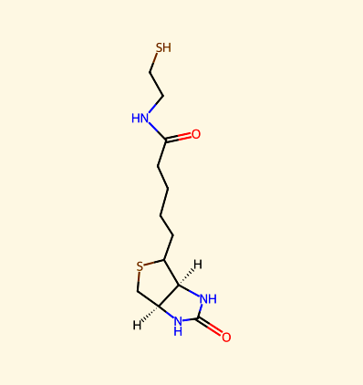 O=C(CCCCC1SC[C@@H]2NC(=O)N[C@H]12)NCCS